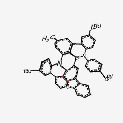 Cc1cc2c3c(c1)N(c1ccc(C(C)(C)C)cc1-c1ccccc1)c1cc4oc5ccccc5c4cc1B3N(c1ccc(C(C)(C)C)cc1)c1ccc(C(C)(C)C)cc1-2